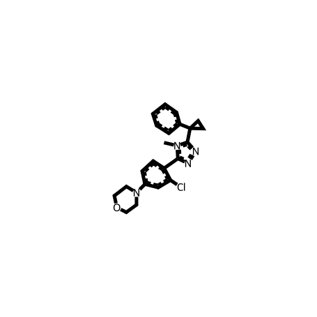 Cn1c(-c2ccc(N3CCOCC3)cc2Cl)nnc1C1(c2ccccc2)CC1